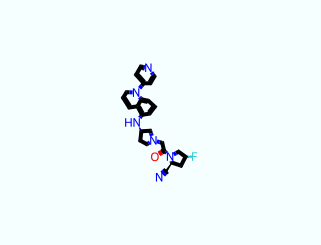 N#C[C@@H]1C[C@H](F)CN1C(=O)CN1CC[C@H](Nc2cccc3c2C=CCN3c2ccncc2)C1